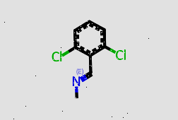 C/N=C/c1c(Cl)cccc1Cl